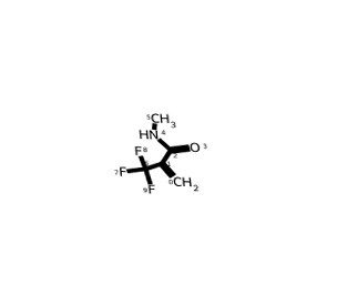 C=C(C(=O)NC)C(F)(F)F